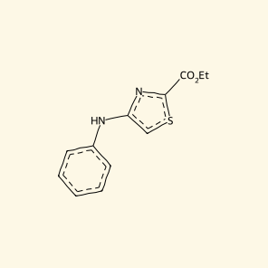 CCOC(=O)c1nc(Nc2ccccc2)cs1